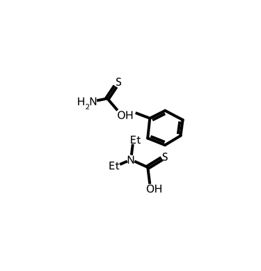 CCN(CC)C(O)=S.Cc1ccccc1.NC(O)=S